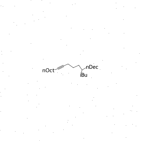 [CH2]CCCCCCCC#CCCCC(CCCCCCCCC[CH2])C(C)CC